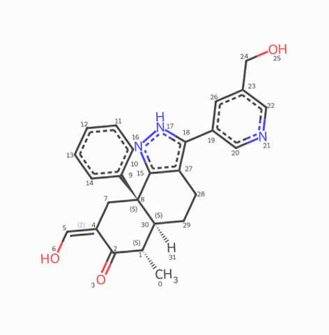 C[C@@H]1C(=O)/C(=C\O)C[C@]2(c3ccccc3)c3n[nH]c(-c4cncc(CO)c4)c3CC[C@@H]12